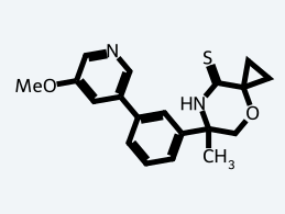 COc1cncc(-c2cccc(C3(C)COC4(CC4)C(=S)N3)c2)c1